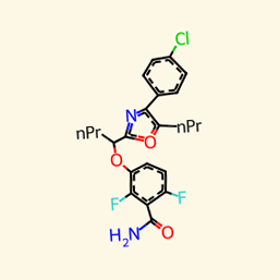 CCCc1oc(C(CCC)Oc2ccc(F)c(C(N)=O)c2F)nc1-c1ccc(Cl)cc1